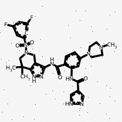 CN1CCN(c2ccc(C(=O)Nc3n[nH]c4c3CN(S(=O)(=O)c3cc(F)cc(F)c3)CC4(C)C)c(NC(=O)c3cn[nH]c3)c2)CC1